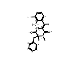 CC(=C1NC(=O)C(C)(Cc2ccccc2)N(C)C1=O)c1cccc(F)c1C#N